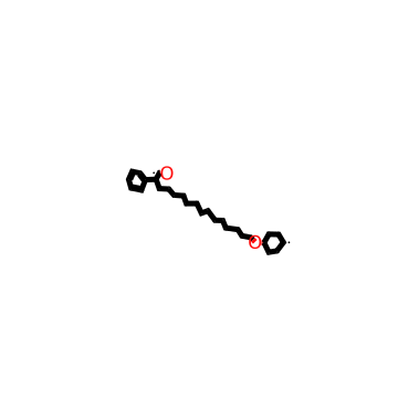 O=[C]C(CCCCCCCCCCCCCCOC1CC[CH]CC1)c1ccccc1